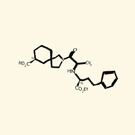 CCOC(=O)[C@H](CCc1ccccc1)NC(C)C(=O)N1CCC2(CCC[C@H](C(=O)O)C2)C1